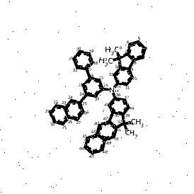 CC1(C)c2ccccc2-c2ccc(N(c3cc(-c4ccccc4)cc(-c4ccc5ccccc5c4)c3)c3ccc4c(c3)-c3cc5ccccc5cc3C4(C)C)cc21